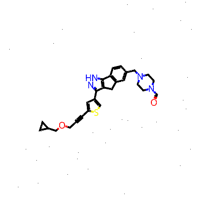 O=CN1CCN(Cc2ccc3c(c2)Cc2c(-c4csc(C#CCOCC5CC5)c4)n[nH]c2-3)CC1